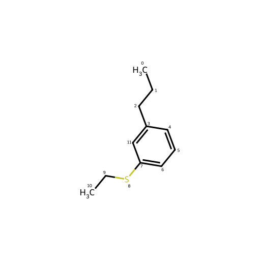 CCCc1cccc(SCC)c1